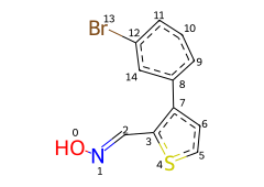 ON=Cc1sccc1-c1cccc(Br)c1